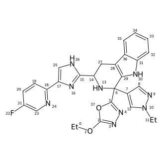 CCOc1nnc(C2(c3cnn(CC)c3)NC(c3nc(-c4ccc(F)cn4)c[nH]3)Cc3c2[nH]c2ccccc32)o1